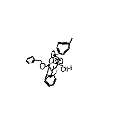 Cc1ccc(S(=O)(=O)O[C@@H](CO)[C@H](Cc2ccccc2)NC(=O)OCc2ccccc2)cc1